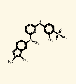 Cc1cc(Nc2nccc(N(C)c3ccc4nn(C)c(C)c4c3)n2)ccc1S(N)(=O)=O